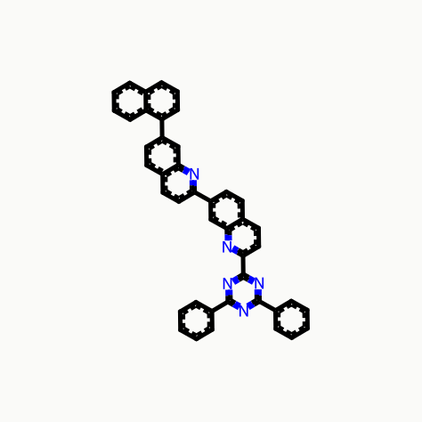 c1ccc(-c2nc(-c3ccccc3)nc(-c3ccc4ccc(-c5ccc6ccc(-c7cccc8ccccc78)cc6n5)cc4n3)n2)cc1